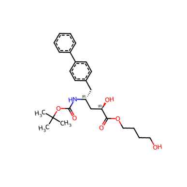 CC(C)(C)OC(=O)N[C@H](Cc1ccc(-c2ccccc2)cc1)C[C@@H](O)C(=O)OCCCCO